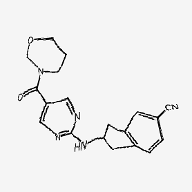 N#Cc1ccc2c(c1)CC(Nc1ncc(C(=O)N3CCCOC3)cn1)C2